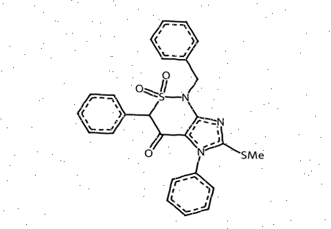 CSc1nc2c(n1-c1ccccc1)C(=O)C(c1ccccc1)S(=O)(=O)N2Cc1ccccc1